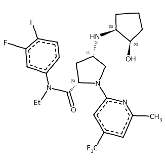 CCN(C(=O)[C@@H]1C[C@H](N[C@H]2CCC[C@H]2O)CN1c1cc(C(F)(F)F)cc(C)n1)c1ccc(F)c(F)c1